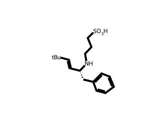 CC(C)(C)/C=C/[C@@H](Cc1ccccc1)NCCCS(=O)(=O)O